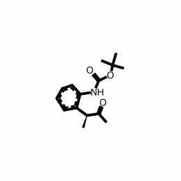 CC(=O)[C@@H](C)c1ccccc1NC(=O)OC(C)(C)C